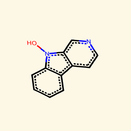 On1c2ccccc2c2ccncc21